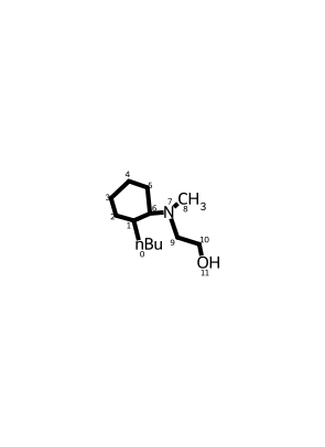 CCCCC1CCCCC1N(C)CCO